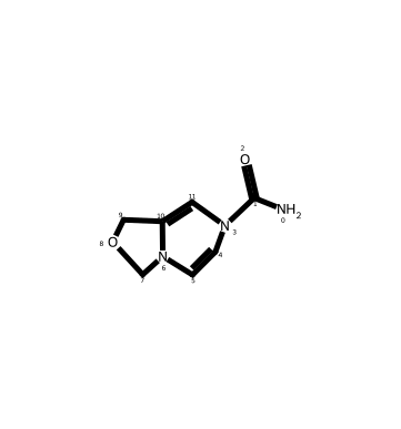 NC(=O)N1C=CN2COCC2=C1